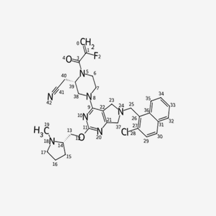 C=C(F)C(=O)N1CCN(c2nc(OC[C@@H]3CCCN3C)nc3c2CN(Cc2c(Cl)ccc4ccccc24)C3)C[C@@H]1CC#N